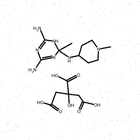 CN1CCC(NC2(C)N=C(N)N=C(N)N2)CC1.O=C(O)CC(O)(CC(=O)O)C(=O)O